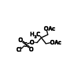 CC(=O)OCC(C)(COC(C)=O)COS(=O)(=O)Cl